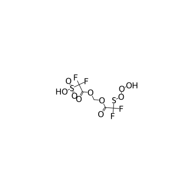 O=C(OCOC(=O)C(F)(F)S(=O)(=O)O)C(F)(F)SOOO